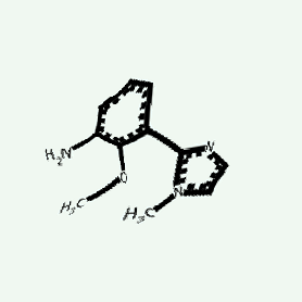 COc1c(N)cccc1-c1nccn1C